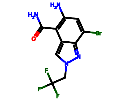 NC(=O)c1c(N)cc(Br)c2nn(CC(F)(F)F)cc12